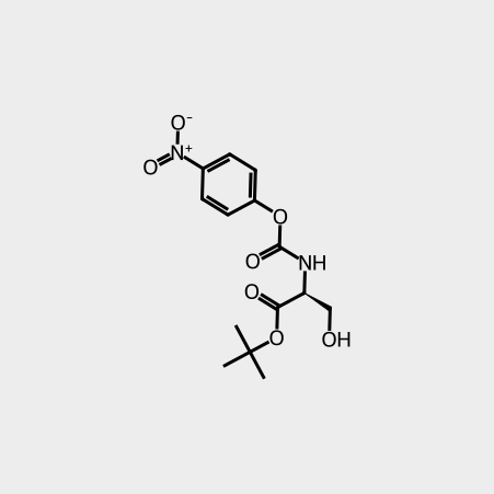 CC(C)(C)OC(=O)[C@H](CO)NC(=O)Oc1ccc([N+](=O)[O-])cc1